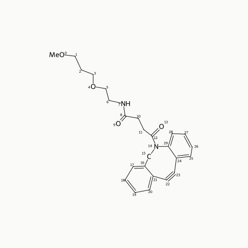 COCCCOCCNC(=O)CCC(=O)N1Cc2ccccc2C#Cc2ccccc21